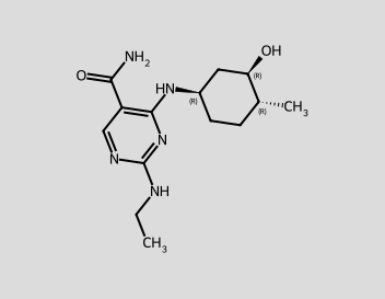 CCNc1ncc(C(N)=O)c(N[C@@H]2CC[C@@H](C)[C@H](O)C2)n1